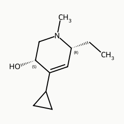 CC[C@@H]1C=C(C2CC2)[C@H](O)CN1C